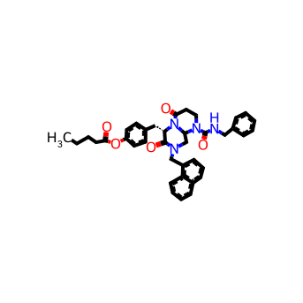 CCCCC(=O)Oc1ccc(C[C@H]2C(=O)N(Cc3cccc4ccccc34)CC3N(C(=O)NCc4ccccc4)CCC(=O)N32)cc1